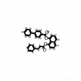 O=C(/C=C/c1ccccc1)Oc1cccc2cccc(OC(=O)c3ccc(-c4ccccc4)cc3)c12